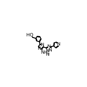 Nc1ncc(-c2cccc(CO)c2)nc1-c1nc(-c2ccncc2)n[nH]1